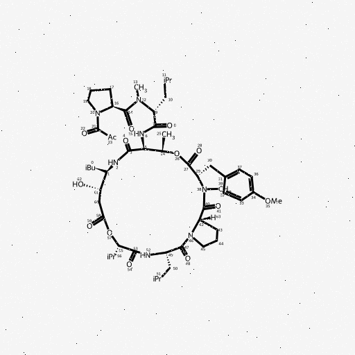 CC[C@H](C)[C@H]1NC(=O)[C@@H](NC(=O)[C@@H](CC(C)C)N(C)C(=O)[C@@H]2CCCN2C(=O)C(C)=O)[C@@H](C)OC(=O)[C@H](Cc2ccc(OC)cc2)N(C)C(=O)[C@@H]2CCCN2C(=O)[C@H](CC(C)C)NC(=O)[C@H](C(C)C)OC(=O)C[C@@H]1O